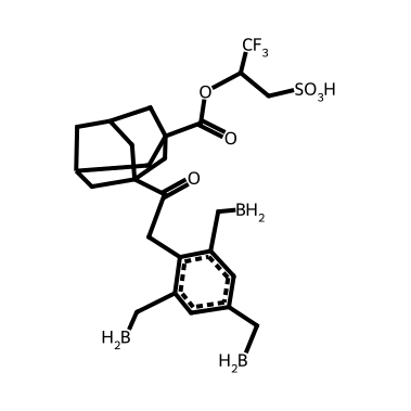 BCc1cc(CB)c(CC(=O)C23CC4CC(C2)CC(C(=O)OC(CS(=O)(=O)O)C(F)(F)F)(C4)C3)c(CB)c1